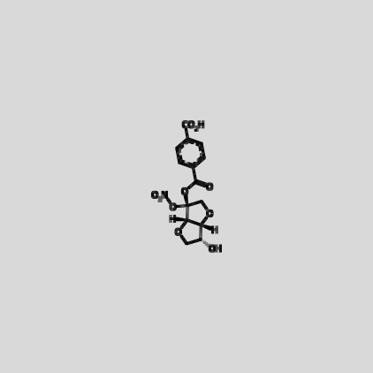 O=C(O)c1ccc(C(=O)O[C@@]2(O[N+](=O)[O-])CO[C@@H]3[C@H](O)CO[C@@H]32)cc1